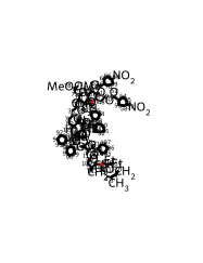 C=C=C(C)C[C@H](CC[C@@H]1O[C@@H](CC(C(=O)C[C@H]2O[C@H]3[C@@H](O[Si](c4ccccc4)(c4ccccc4)C(C)(C)C)[C@H]4O[C@@H](CC(=O)O[C@@H]5[C@@H](C)[C@@H]6O[C@H](CCOC(=O)c7ccc([N+](=O)[O-])cc7)[C@H](OC(=O)c7ccc([N+](=O)[O-])cc7)C[C@@H]6O[C@H]5CC(OC)OC)CC[C@@H]4O[C@H]3[C@H]2O[Si](c2ccccc2)(c2ccccc2)C(C)(C)C)S(=O)(=O)c2ccccc2)CC1=C)O[Si](CC)(CC)CC